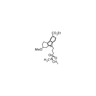 CCOC(=O)c1ccc2c(c1)c1c(n2CCCS(=O)(=O)N(C)C)CC(OC)CC1